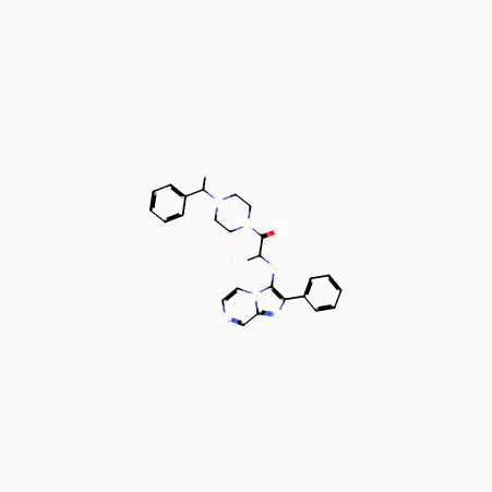 CC(Nc1c(-c2ccccc2)nc2cnccn12)C(=O)N1CCN(C(C)c2ccccc2)CC1